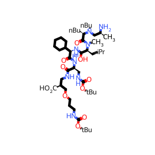 CCCC[C@@H](C(=O)N(C)[C@@H](CC(C)C)C(O)N[C@H](C(=O)N[C@@H](CNC(=O)OC(C)(C)C)C(=O)NC[C@@H](COCCCNC(=O)OC(C)(C)C)C(=O)O)C1CCCCC1)N(CCCC)C[C@@H](C)N